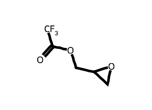 O=C(OCC1CO1)C(F)(F)F